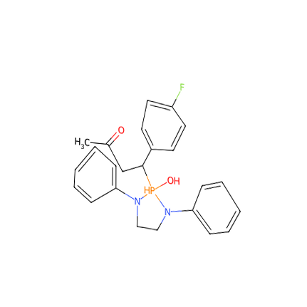 CC(=O)CC(c1ccc(F)cc1)[PH]1(O)N(c2ccccc2)CCN1c1ccccc1